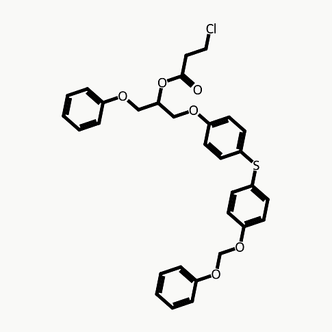 O=C(CCCl)OC(COc1ccccc1)COc1ccc(Sc2ccc(OCOc3ccccc3)cc2)cc1